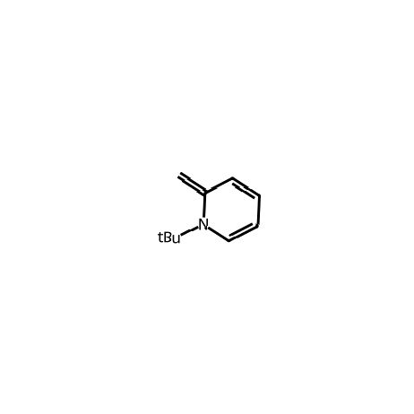 C=C1C=CC=CN1C(C)(C)C